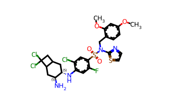 COc1ccc(CN(c2nccs2)S(=O)(=O)c2cc(Cl)c(N[C@H]3CC4CC(Cl)(Cl)C4C[C@@H]3N)cc2F)c(OC)c1